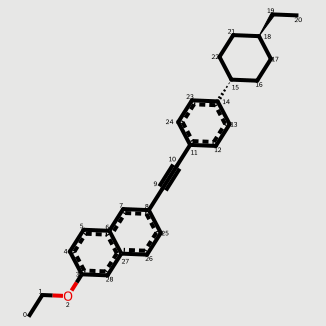 CCOc1ccc2cc(C#Cc3ccc([C@H]4CC[C@H](CC)CC4)cc3)ccc2c1